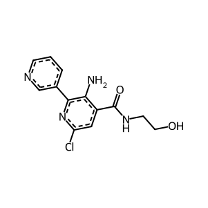 Nc1c(C(=O)NCCO)cc(Cl)nc1-c1cccnc1